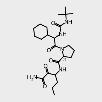 CCCC(NC(=O)[C@@H]1CCCN1C(=O)C(NC(=O)NC(C)(C)C)C1CCCCC1)C(=O)C(N)=O